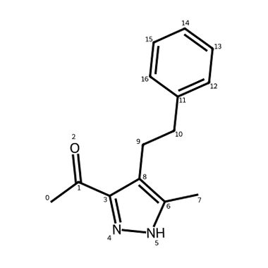 CC(=O)c1n[nH]c(C)c1CCc1ccccc1